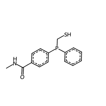 CNC(=O)c1ccc(P(CS)c2ccccc2)cc1